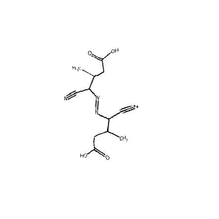 CC(CC(=O)O)C(C#N)/N=N/C(C#N)C(C)CC(=O)O